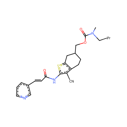 CC(C)CN(C)C(=O)OCC1CCc2c(sc(NC(=O)C=Cc3cccnc3)c2C#N)C1